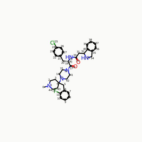 CN1CCC(Cc2ccccc2F)(N2CCN(C(=O)[C@@H](Cc3ccc(Cl)cc3)NC(=O)CC3NCc4ccccc43)CC2)CC1